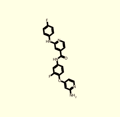 Nc1cc(Oc2ccc(NC(=O)c3ccnc(Nc4ccc(F)cc4)c3)cc2F)ccn1